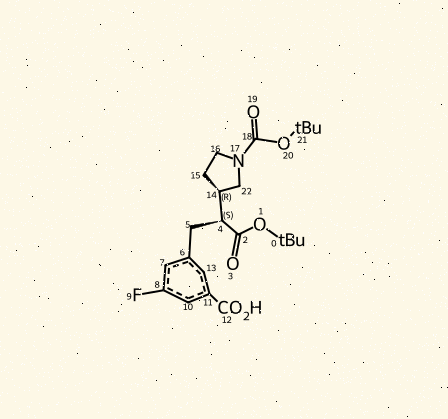 CC(C)(C)OC(=O)[C@@H](Cc1cc(F)cc(C(=O)O)c1)[C@H]1CCN(C(=O)OC(C)(C)C)C1